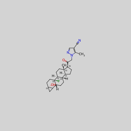 Cc1c(C#N)cnn1CC(=O)[C@H]1CC[C@H]2[C@@H]3CC[C@@H]4C5C[C@@]5(O)CC[C@]4(F)[C@H]3CC[C@]12C